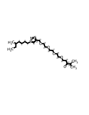 CCC(C)CCCCn1cc(COCCOCCOCCOCCC(=O)C(C)C)nn1